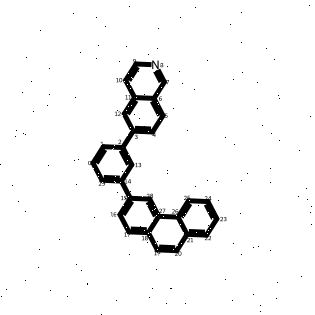 c1cc(-c2ccc3cnccc3c2)cc(-c2ccc3ccc4ccccc4c3c2)c1